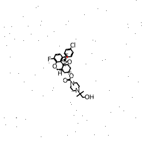 CC(C)(CO)N1CCN(C(=O)O[C@@H]2CC[C@@]3(S(=O)(=O)c4ccc(Cl)cc4)c4c(F)ccc(F)c4OC[C@H]3C2)CC1